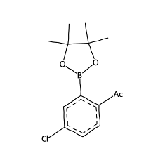 CC(=O)c1ccc(Cl)cc1B1OC(C)(C)C(C)(C)O1